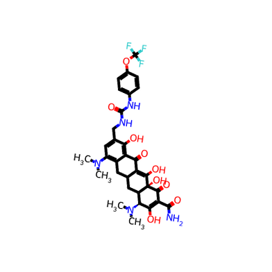 CN(C)c1cc(CNC(=O)Nc2ccc(OC(F)(F)F)cc2)c(O)c2c1CC1CC3[C@H](N(C)C)C(O)=C(C(N)=O)C(=O)[C@@]3(O)C(O)=C1C2=O